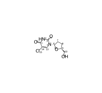 O=c1[nH]c(=O)n([C@@H]2CC[C@@H](CO)O2)cc1Cl